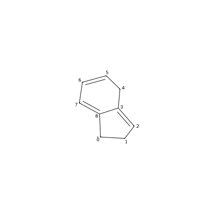 [CH]1CC=C2CC=CC=C12